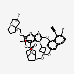 C#Cc1c(F)ccc2cc(OCOC)cc(Oc3nc4nc(OC[C@@]56CCCN5C[C@H](F)C6)nc(N5CC6CCC(C5)N6C(=O)OC(C)(C)C)c4n3C3CCC3)c12